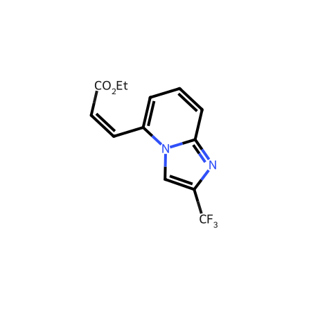 CCOC(=O)/C=C\c1cccc2nc(C(F)(F)F)cn12